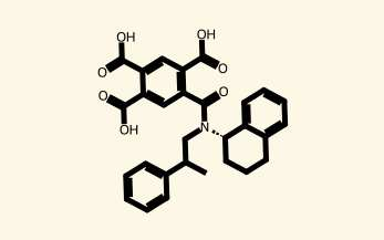 CC(CN(C(=O)c1cc(C(=O)O)c(C(=O)O)cc1C(=O)O)[C@H]1CCCc2ccccc21)c1ccccc1